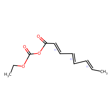 C/C=C/C=C/C=C/C(=O)OC(=O)OCC